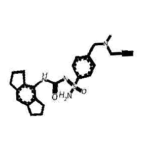 C#CCN(C)Cc1ccc(S(N)(=O)=NC(=O)Nc2c3c(cc4c2CCC4)CCC3)cc1